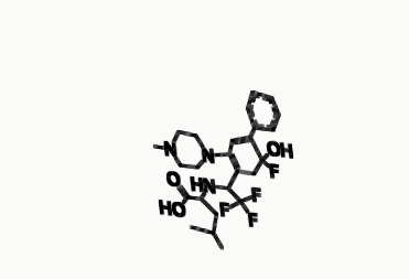 CC(C)CC(NC(C1=C(N2CCN(C)CC2)C=C(c2ccccc2)C(O)(F)C1)C(F)(F)F)C(=O)O